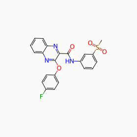 CS(=O)(=O)c1cccc(NC(=O)c2nc3ccccc3nc2Oc2ccc(F)cc2)c1